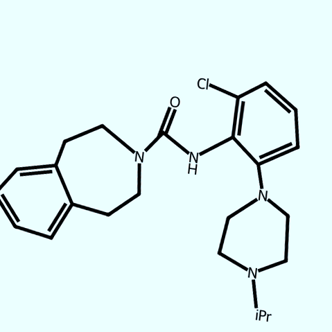 CC(C)N1CCN(c2cccc(Cl)c2NC(=O)N2CCc3ccccc3CC2)CC1